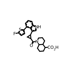 O=C(O)C1CCCC2C1CCCN2C(=O)C1CC1c1c[nH]c2cccc(-c3ccc(F)s3)c12